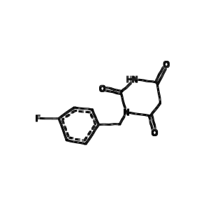 O=C1CC(=O)N(Cc2ccc(F)cc2)C(=O)N1